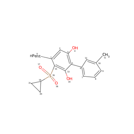 CCCCCc1cc(O)c(-c2cccc(C)c2)c(O)c1S(=O)(=O)C1CC1